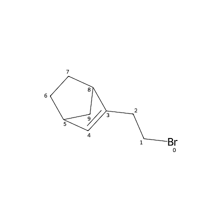 BrCCC1=CC2CCC1C2